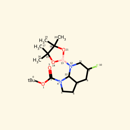 CC(C)(C)OC(=O)N1CCC2CC(F)CN(B3OC(C)(C)C(C)(C)O3)C21